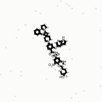 CC(C)c1ccccc1[C@H]1CCCN1C1CC2(CCN(c3ccc(C(=O)NS(=O)(=O)c4cc5c(c([N+](=O)[O-])c4)O[C@@H]([C@H]4CC[C@](C)(O)CC4)CN5)c(Oc4cnc5[nH]ccc5c4)c3)CC2)C1